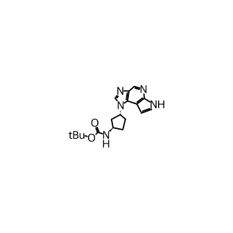 CC(C)(C)OC(=O)N[C@@H]1CC[C@@H](n2cnc3cnc4[nH]ccc4c32)C1